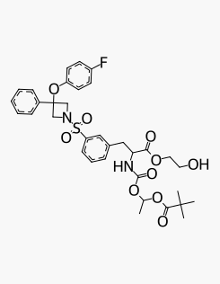 CC(OC(=O)NC(Cc1cccc(S(=O)(=O)N2CC(Oc3ccc(F)cc3)(c3ccccc3)C2)c1)C(=O)OCCO)OC(=O)C(C)(C)C